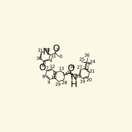 CC(=O)c1cc(Oc2ccc3c(c2)CC(C(=O)Nc2cccc(C(C)(C)C)c2)CC3)ccn1